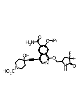 CC(C)Oc1cc2c(OCC3CC(F)(F)C(=O)N3)ncc(C#CC3(O)CCN(C(=O)O)CC3)c2cc1C(N)=O